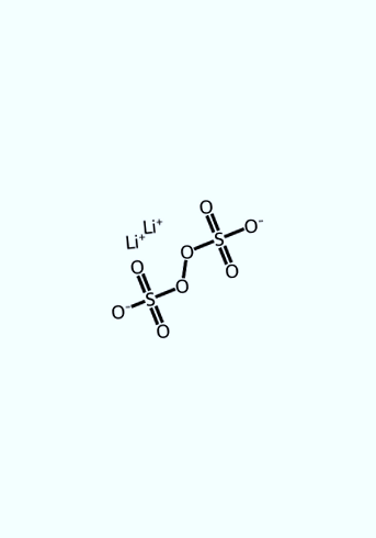 O=S(=O)([O-])OOS(=O)(=O)[O-].[Li+].[Li+]